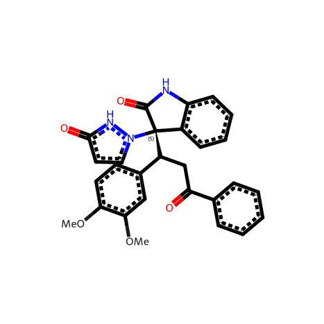 COc1ccc(C(CC(=O)c2ccccc2)[C@@]2(n3ccc(=O)[nH]3)C(=O)Nc3ccccc32)cc1OC